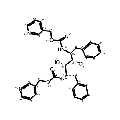 O=C(N[C@@H](Cc1ccccc1)[C@H](O)[C@@H](O)[C@H](Cc1ccccc1)NC(=O)OCc1cccnc1)OCc1cccnc1